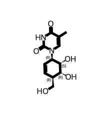 Cc1cn([C@@H]2C=C[C@H](CO)[C@@H](O)[C@H]2O)c(=O)[nH]c1=O